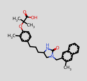 Cc1cc2ccccc2cc1CN1CC(CCCc2ccc(OC(C)(C)C(=O)O)c(C)c2)NC1=O